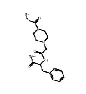 COC(=O)C(Cc1ccccc1)NC(=O)CN1CCN(C(=O)OC(C)(C)C)CC1